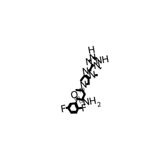 CN1NNN=C1c1nc2c(n1C)CN([C@H]1CO[C@H](c3cc(F)ccc3F)[C@@H](N)C1)C2